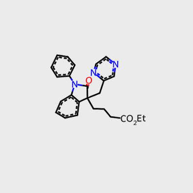 CCOC(=O)CCCC1(Cc2cnccn2)C(=O)N(c2ccccc2)c2ccccc21